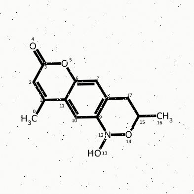 Cc1cc(=O)oc2cc3c(cc12)N(O)OC(C)C3